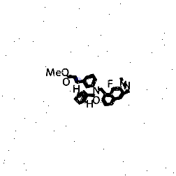 COC(=O)/C=C/c1cccc(N(Cc2cccc3cc4cnn(C)c4c(F)c23)C(=O)C2C[C@H]3CC[C@@H]2C3)c1